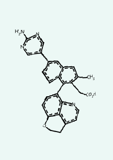 Cc1cc2cc(-c3cnc(N)nc3)ccc2c(-c2ccc3c4c(ccnc24)CCO3)c1CC(=O)O